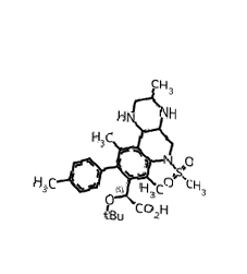 Cc1ccc(-c2c(C)c3c(c(C)c2[C@H](OC(C)(C)C)C(=O)O)N(S(C)(=O)=O)CC2NC(C)CNC32)cc1